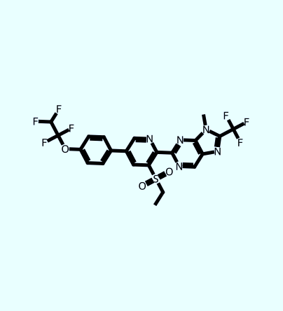 CCS(=O)(=O)c1cc(-c2ccc(OC(F)(F)C(F)F)cc2)cnc1-c1ncc2nc(C(F)(F)F)n(C)c2n1